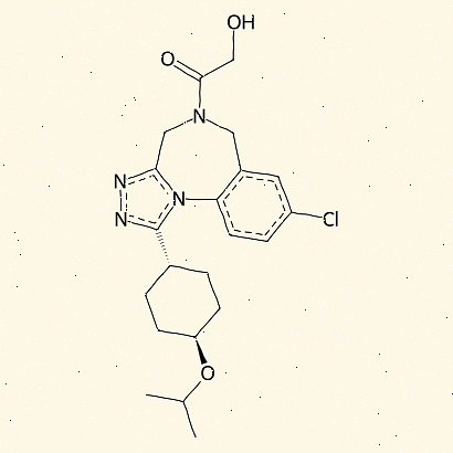 CC(C)O[C@H]1CC[C@H](c2nnc3n2-c2ccc(Cl)cc2CN(C(=O)CO)C3)CC1